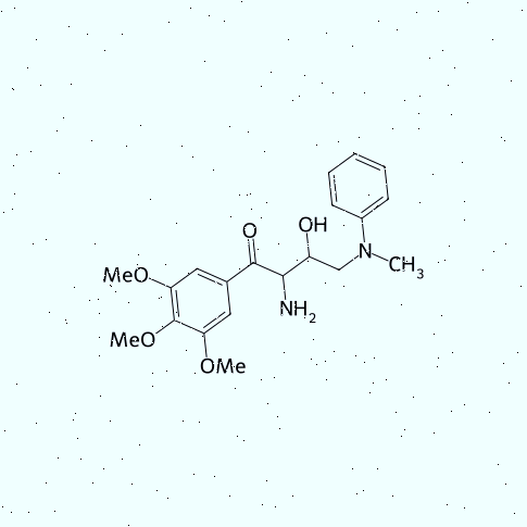 COc1cc(C(=O)C(N)C(O)CN(C)c2ccccc2)cc(OC)c1OC